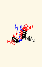 CNc1cc(CNCc2cccc(O)c2)c(O)c2c1CC1CC3CC(O)=C(C(N)=O)C(=O)C3C(O)=C1C2=O